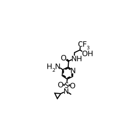 CN(C1CC1)S(=O)(=O)c1cnc(C(=O)NCC(O)C(F)(F)F)c(N)c1